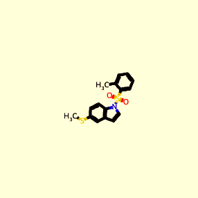 CSc1ccc2c(ccn2S(=O)(=O)c2ccccc2C)c1